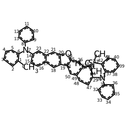 Cc1ccccc1N(c1ccccc1)c1ccc2cc3c(cc2c1)oc1cc2cc(N(c4ccccc4)c4ccccc4[Si](C)(C)C)ccc2cc13